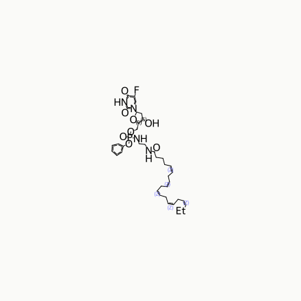 CC/C=C\C/C=C\C/C=C\C/C=C\C/C=C\CCCC(=O)NCCNP(=O)(OC[C@H]1OC(n2cc(F)c(=O)[nH]c2=O)C[C@@H]1O)Oc1ccccc1